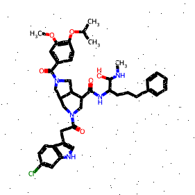 CNC(O)C(CCCc1ccccc1)NC(=O)C1CN(C(=O)Cc2c[nH]c3cc(Cl)ccc23)CC2CN(C(=O)c3ccc(OC(C)C)c(OC)c3)CC21